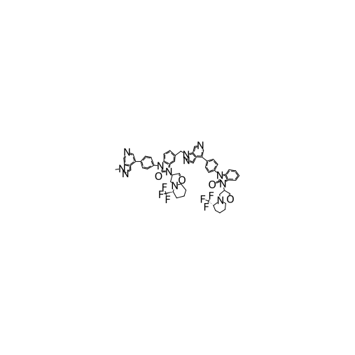 Cn1ncc2c(-c3ccc(-n4c(=O)n(C(C=O)CN5CCCC[C@H]5C(F)(F)F)c5cc(Cn6ncc7c(-c8ccc(-n9c(=O)n(C(C=O)CN%10CCCC[C@@H]%10C(F)(F)F)c%10ccccc%109)cc8)cncc76)ccc54)cc3)cncc21